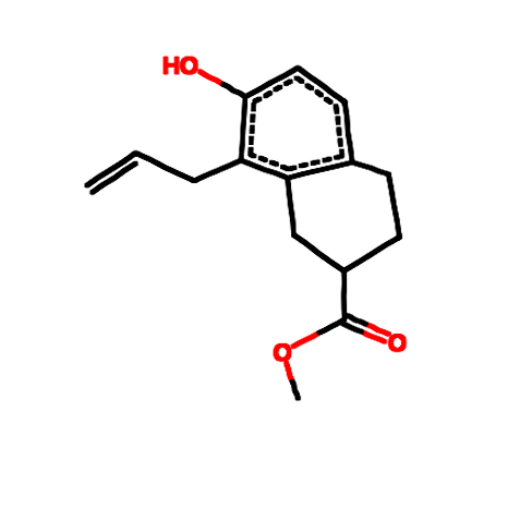 C=CCc1c(O)ccc2c1CC(C(=O)OC)CC2